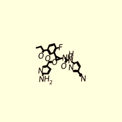 CCC(=O)c1ccc(F)c(C2CC2NC(=O)Nc2ccc(C#N)cn2)c1OC(=O)c1ccc(N)nc1